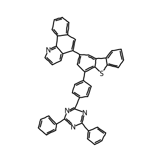 c1ccc(-c2nc(-c3ccccc3)nc(-c3ccc(-c4cc(-c5cc6ccccc6c6ncccc56)cc5c4sc4ccccc45)cc3)n2)cc1